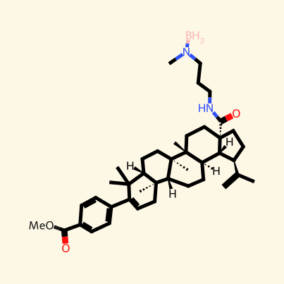 BN(C)CCCNC(=O)[C@]12CC[C@@H](C(=C)C)[C@@H]1[C@H]1CC[C@@H]3[C@@]4(C)CC=C(c5ccc(C(=O)OC)cc5)C(C)(C)[C@@H]4CC[C@@]3(C)[C@]1(C)CC2